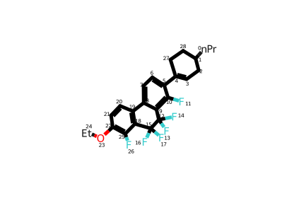 CCCC1CC=C(c2ccc3c(c2F)C(F)(F)C(F)(F)c2c-3ccc(OCC)c2F)CC1